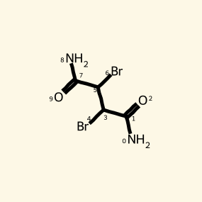 NC(=O)C(Br)C(Br)C(N)=O